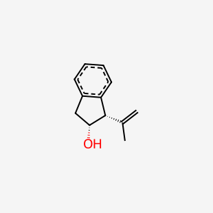 C=C(C)[C@H]1c2ccccc2C[C@H]1O